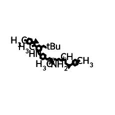 CC1CCC(C2CC2CC[C@@H](C)CCCC[C@@H](CCC2CCC(NC3CC(CCC(C)(C)C)CC(C(C)C4(C5CCC(C)CC5)CC4)C3)CC2)[C@@H](C)N)CC1